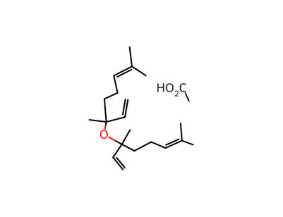 C=CC(C)(CCC=C(C)C)OC(C)(C=C)CCC=C(C)C.CC(=O)O